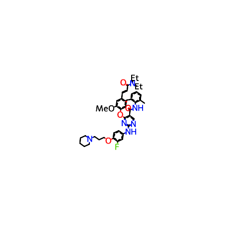 CCN(CC)C(=O)/C=C/c1ccc(Oc2nc(Nc3ccc(OCCCN4CCCCC4)c(F)c3)ncc2C(=O)Nc2c(C)cccc2C)c(OC)c1